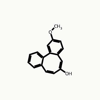 COc1ccc2c(c1)-c1ccccc1/C=C\C(O)=C/2